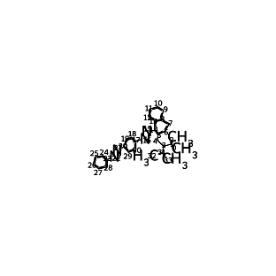 CC(C)C(Cc1ccc2ccccc2c1/N=N/c1ccc(/N=N/c2ccccc2)cc1)C(C)C